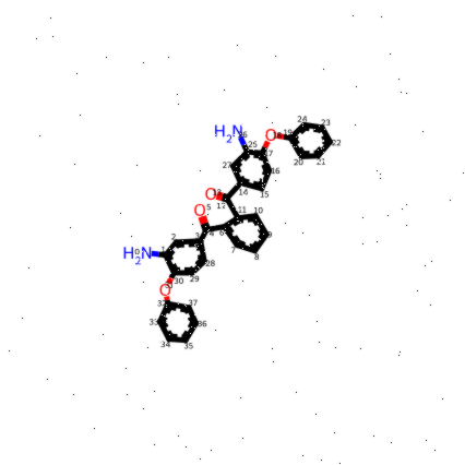 Nc1cc(C(=O)c2ccccc2C(=O)c2ccc(Oc3ccccc3)c(N)c2)ccc1Oc1ccccc1